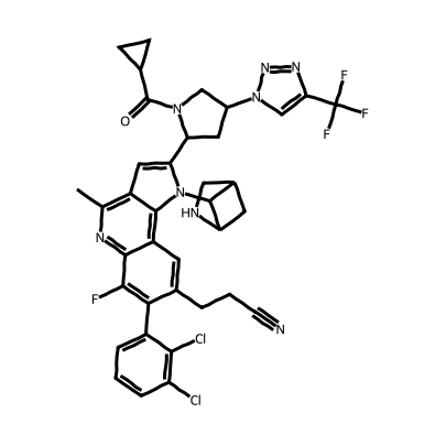 Cc1nc2c(F)c(-c3cccc(Cl)c3Cl)c(CCC#N)cc2c2c1cc(C1CC(n3cc(C(F)(F)F)nn3)CN1C(=O)C1CC1)n2C1C2CNC1C2